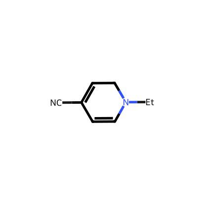 CCN1C=CC(C#N)=CC1